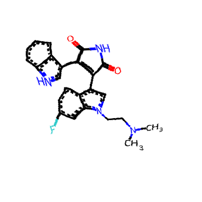 CN(C)CCn1cc(C2=C(c3c[nH]c4ccccc34)C(=O)NC2=O)c2ccc(F)cc21